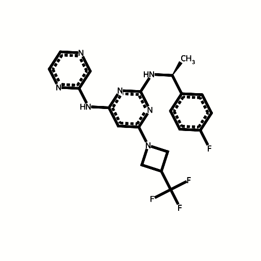 C[C@H](Nc1nc(Nc2cnccn2)cc(N2CC(C(F)(F)F)C2)n1)c1ccc(F)cc1